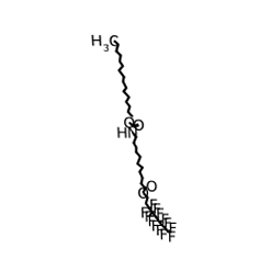 CCCCCCCCCCCCCCCCOC(=O)NCCCCCCCCCCC(=O)OCCC(F)(F)C(F)(F)C(F)(F)C(F)(F)C(F)(F)C(F)(F)F